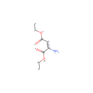 CCOC(=O)/C=C(/N)C(=O)OCC